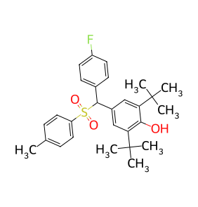 Cc1ccc(S(=O)(=O)C(c2ccc(F)cc2)c2cc(C(C)(C)C)c(O)c(C(C)(C)C)c2)cc1